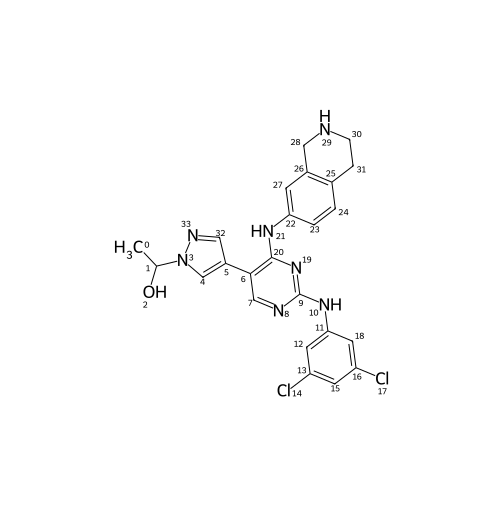 CC(O)n1cc(-c2cnc(Nc3cc(Cl)cc(Cl)c3)nc2Nc2ccc3c(c2)CNCC3)cn1